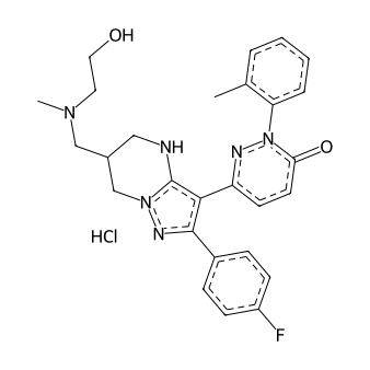 Cc1ccccc1-n1nc(-c2c(-c3ccc(F)cc3)nn3c2NCC(CN(C)CCO)C3)ccc1=O.Cl